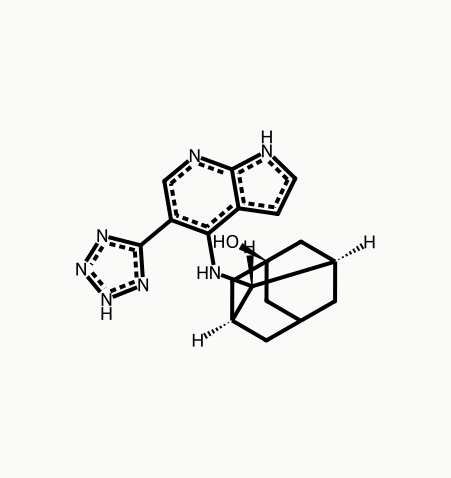 O[C@]12CC3C[C@H](C1)[C@@H](Nc1c(-c4nn[nH]n4)cnc4[nH]ccc14)[C@@H](C3)C2